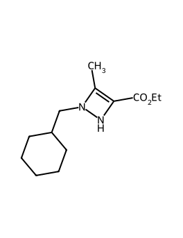 CCOC(=O)c1[nH]n(CC2CCCCC2)c1C